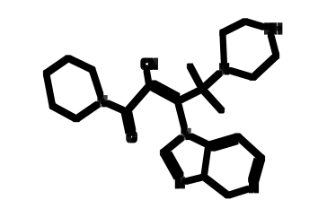 CC(C)(C(=C(C#N)C(=O)N1CCCCC1)N1C=NC2CN=CC=C21)N1CCNCC1